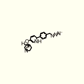 [N-]=[N+]=NCc1ccc(C2C=CC(O[C@H]3CN4CCC3CC4)=CN2)cc1